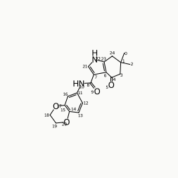 CC1(C)CC(=O)c2c(C(=O)Nc3ccc4c(c3)OCCO4)c[nH]c2C1